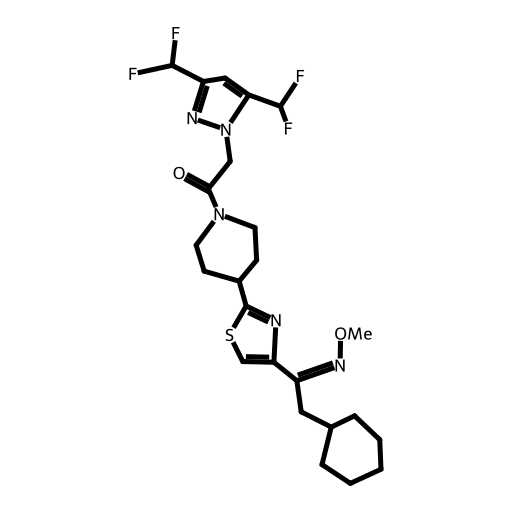 CON=C(CC1CCCCC1)c1csc(C2CCN(C(=O)Cn3nc(C(F)F)cc3C(F)F)CC2)n1